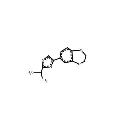 CC(C)c1nc(-c2ccc3c(c2)OCCO3)cs1